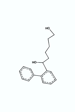 OCCCCCC(O)c1ccccc1-c1ccccc1